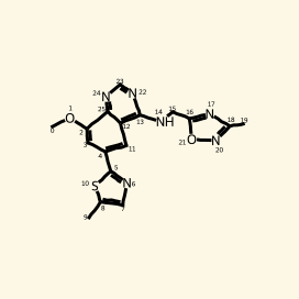 COc1cc(-c2ncc(C)s2)cc2c(NCc3nc(C)no3)ncnc12